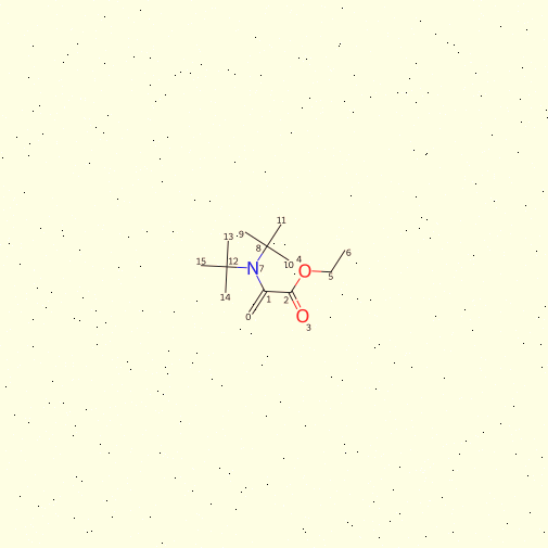 C=C(C(=O)OCC)N(C(C)(C)C)C(C)(C)C